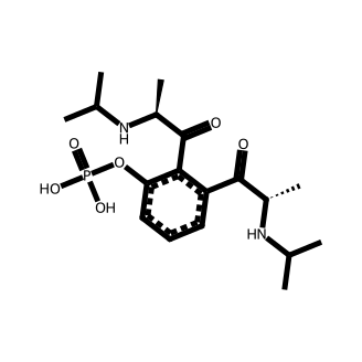 CC(C)N[C@@H](C)C(=O)c1cccc(OP(=O)(O)O)c1C(=O)[C@H](C)NC(C)C